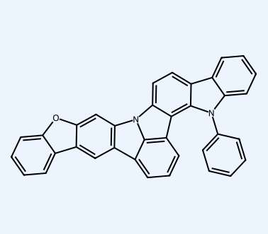 c1ccc(-n2c3ccccc3c3ccc4c(c5cccc6c7cc8c(cc7n4c65)oc4ccccc48)c32)cc1